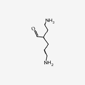 NCCCC(C=O)CCN